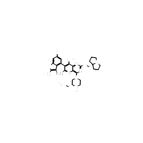 N#CC[C@H]1CN(c2nc(OC[C@@]34CCCN3C[C@H](F)C4)nc3c(O)c(-c4cc(F)cc5sc(N)c(C#N)c45)c(C#N)nc23)CCN1